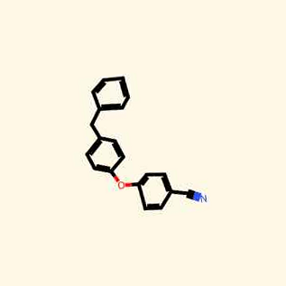 N#Cc1ccc(Oc2ccc(Cc3ccccc3)cc2)cc1